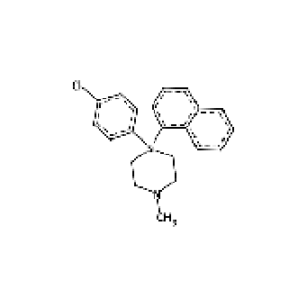 CN1CC[Si](c2ccc(Cl)cc2)(c2cccc3ccccc23)CC1